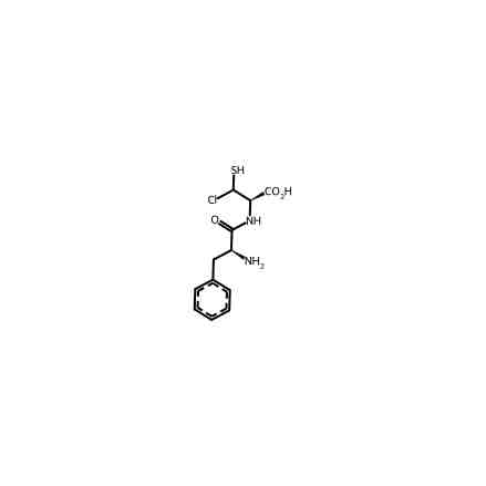 N[C@@H](Cc1ccccc1)C(=O)N[C@H](C(=O)O)C(S)Cl